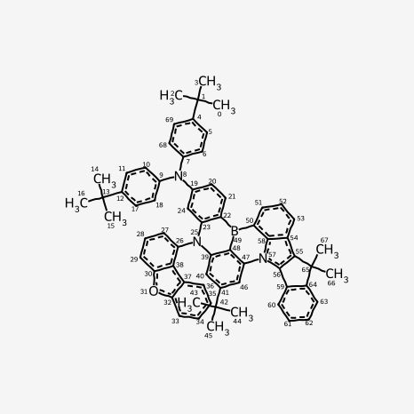 CC(C)(C)c1ccc(N(c2ccc(C(C)(C)C)cc2)c2ccc3c(c2)N(c2cccc4oc5ccccc5c24)c2cc(C(C)(C)C)cc4c2B3c2cccc3c5c(n-4c23)-c2ccccc2C5(C)C)cc1